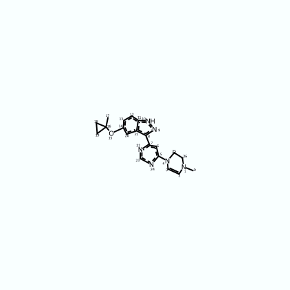 CN1C=CN(c2cc(-c3n[nH]c4ccc(OC5(C)CC5)cc34)ncn2)CC1